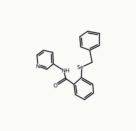 O=C(Nc1cccnc1)c1ccccc1[Se]Cc1ccccc1